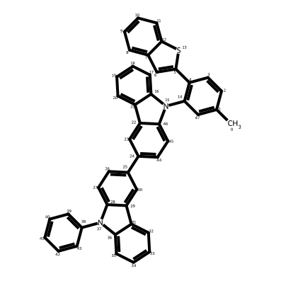 Cc1ccc(-c2cc3ccccc3s2)c(-n2c3ccccc3c3cc(-c4ccc5c(c4)c4ccccc4n5-c4ccccc4)ccc32)c1